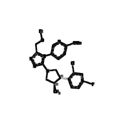 CCOCc1nnc(N2C[C@H](c3ccc(F)cc3Cl)[C@@H](C)C2)n1-c1ccc(OC)nc1